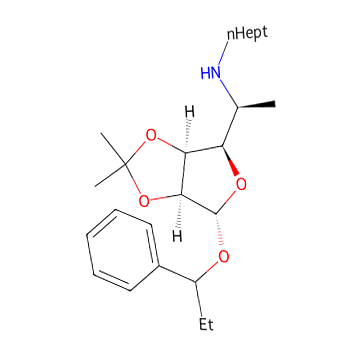 CCCCCCCN[C@@H](C)[C@H]1O[C@H](OC(CC)c2ccccc2)[C@H]2OC(C)(C)O[C@H]21